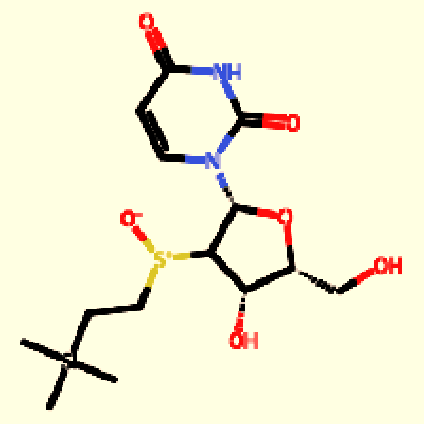 C[Si](C)(C)CC[S+]([O-])C1[C@@H](O)[C@@H](CO)O[C@H]1n1ccc(=O)[nH]c1=O